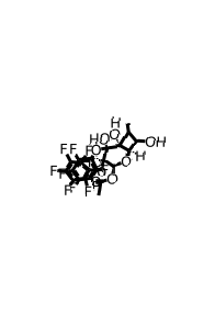 CC(=O)O[C@@H]1O[C@@H]2C(O)C(C)[C@]2(O)[C@@](O)(Oc2c(F)c(F)c(F)c(F)c2F)[C@]1(O)Oc1c(F)c(F)c(F)c(F)c1F